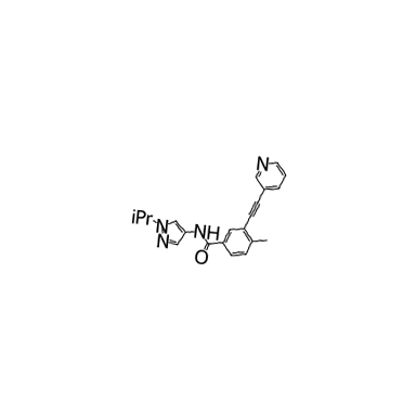 Cc1ccc(C(=O)Nc2cnn(C(C)C)c2)cc1C#Cc1cccnc1